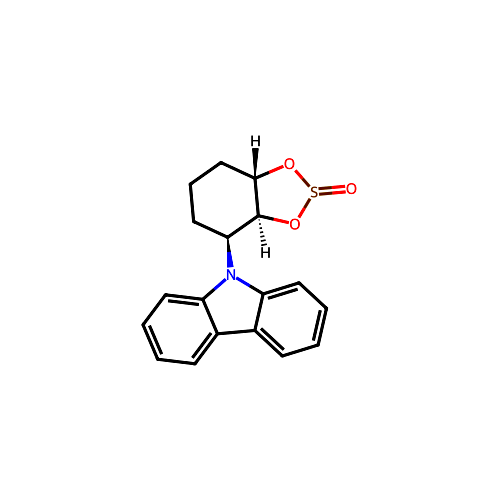 O=S1O[C@@H]2[C@H](CCC[C@@H]2n2c3ccccc3c3ccccc32)O1